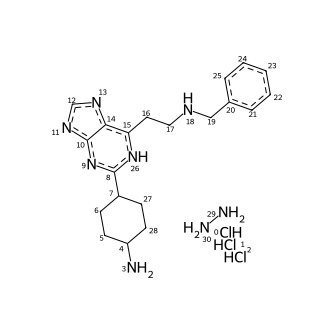 Cl.Cl.Cl.NC1CCC(c2nc3ncnc-3c(CCNCc3ccccc3)[nH]2)CC1.NN